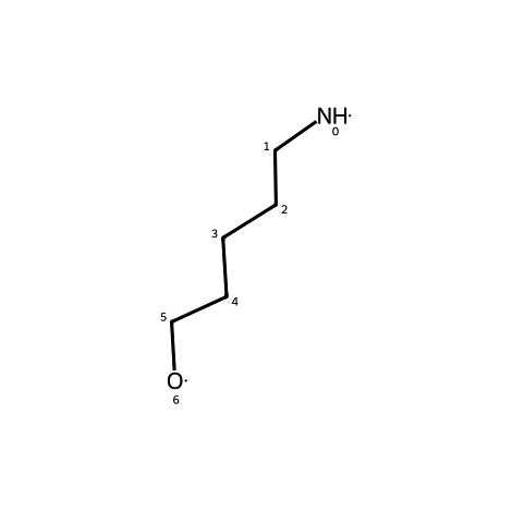 [NH]CCCCC[O]